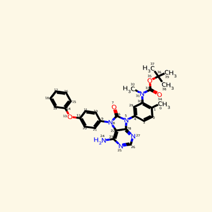 Cc1ccc(-n2c(=O)n(-c3ccc(Oc4ccccc4)cc3)c3c(N)ncnc32)cc1N(C)C(=O)OC(C)(C)C